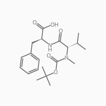 CC(C)[C@@H](C(=O)N[C@@H](Cc1ccccc1)C(=O)O)N(C)C(=O)OC(C)(C)C